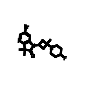 CC1(C)C(=O)N(C2CC(C)(N3CCC(F)CC3)C2)c2cc(Br)cnc21